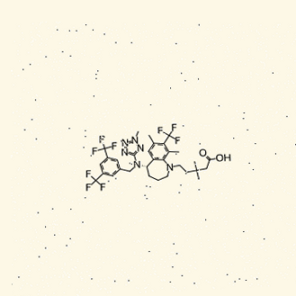 Cc1cc2c(c(C)c1C(F)(F)F)N(CCC(C)(C)CC(=O)O)CCC[C@@H]2N(Cc1cc(C(F)(F)F)cc(C(F)(F)F)c1)c1nnn(C)n1